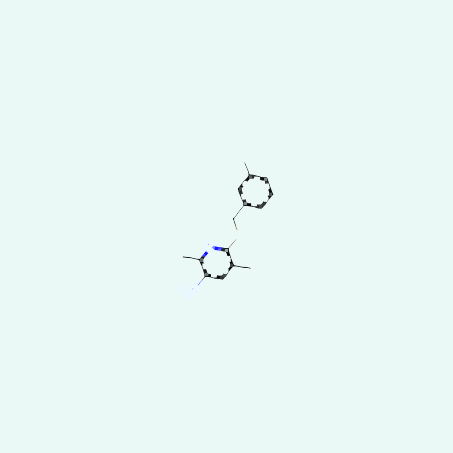 Cc1cc(N)c(C)nc1SCc1cccc(C(F)(F)F)c1